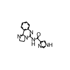 O=C(NC1=Nc2ccccc2C2=NCCN12)c1c[nH]cn1